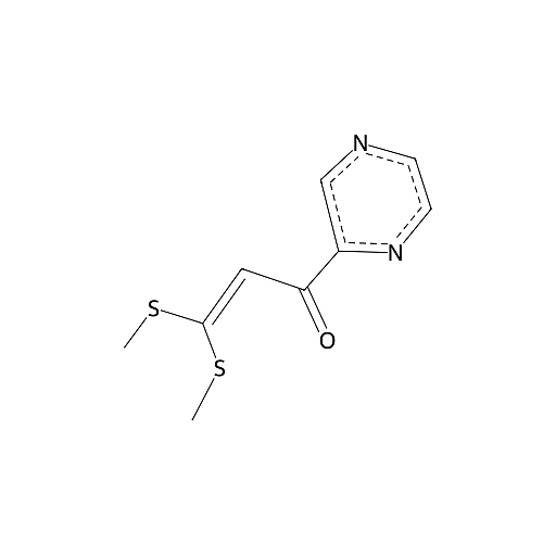 CSC(=CC(=O)c1cnccn1)SC